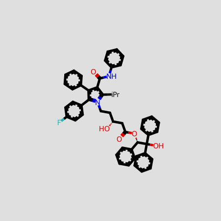 CC(C)c1c(C(=O)Nc2ccccc2)c(-c2ccccc2)c(-c2ccc(F)cc2)n1CC[C@@H](O)CC(=O)O[C@@H](c1ccccc1)C(O)(c1ccccc1)c1ccccc1